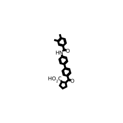 Cc1ccc(C(=O)Nc2ccc(-c3ccc(C(=O)C4CCCC4C(=O)O)cc3)cc2)cc1C